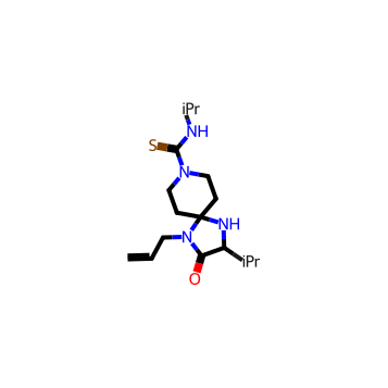 C=CCN1C(=O)C(C(C)C)NC12CCN(C(=S)NC(C)C)CC2